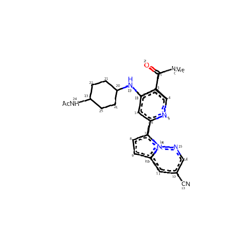 CNC(=O)c1cnc(-c2ccc3cc(C#N)cnn23)cc1NC1CCC(NC(C)=O)CC1